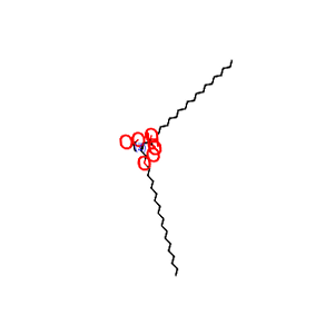 CC(=O)O.CCCCCCCCCCCCCCCCCCOC(=O)/C=C\C(=O)OCCCCCCCCCCCCCCCCCC